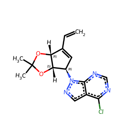 C=CC1=C[C@@H](n2ncc3c(Cl)ncnc32)[C@@H]2OC(C)(C)O[C@H]12